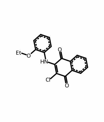 CCOc1ccccc1NC1=C(Cl)C(=O)c2ccccc2C1=O